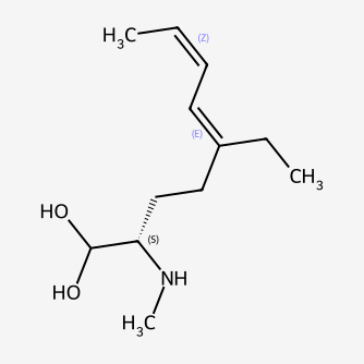 C/C=C\C=C(/CC)CC[C@H](NC)C(O)O